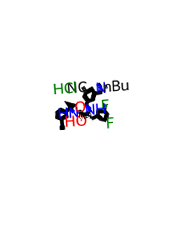 C#Cc1cccc(C2(NC[C@@H](O)[C@H](Cc3cc(F)cc(F)c3)NC(=O)c3cc(C#N)cc(CN(C)CCCC)c3)CC2)c1.Cl